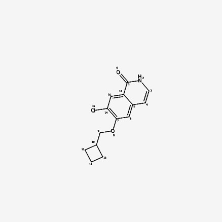 O=c1[nH]ccc2cc(OCC3CCC3)c(Cl)cc12